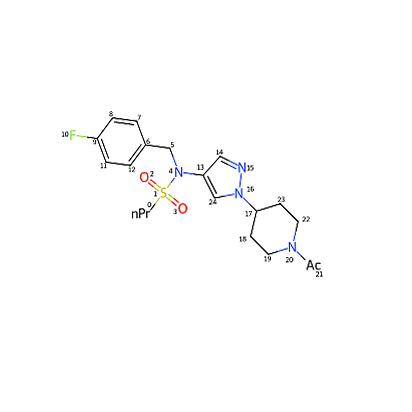 CCCS(=O)(=O)N(Cc1ccc(F)cc1)c1cnn(C2CCN(C(C)=O)CC2)c1